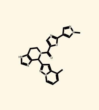 Cc1cccn2nc(C3c4nc[nH]c4CCN3C(=O)c3cnc(-c4cnn(C)c4)o3)cc12